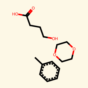 C1COCCO1.Cc1ccccc1.O=C(O)CCCO